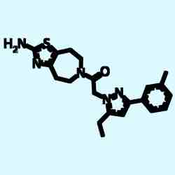 CCc1cc(-c2cccc(C)c2)nn1CC(=O)N1CCc2nc(N)sc2CC1